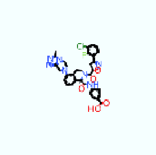 Cc1nnc2n1CCN(c1cccc3c1CCN(C(=O)C1CC(c4cccc(Cl)c4F)=NO1)[C@H]3C(=O)Nc1ccc(C(=O)O)cc1)C2